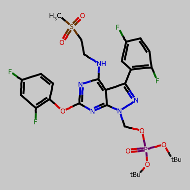 CC(C)(C)OP(=O)(OCn1nc(-c2cc(F)ccc2F)c2c(NCCS(C)(=O)=O)nc(Oc3ccc(F)cc3F)nc21)OC(C)(C)C